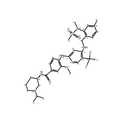 COc1cc(C(=O)N[C@@H]2CCCN(C(C)C)C2)ccc1Nc1ncc(C(F)(F)F)c(NCc2ccc(C)cc2N(C)S(C)(=O)=O)n1